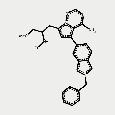 CCNC(COC)Cc1cc(-c2ccc3cn(Cc4ccccc4)nc3c2)c2c(N)ncnn12